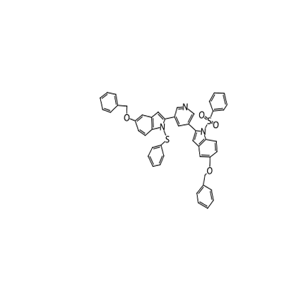 O=S(=O)(c1ccccc1)n1c(-c2cncc(-c3cc4cc(OCc5ccccc5)ccc4n3Sc3ccccc3)c2)cc2cc(OCc3ccccc3)ccc21